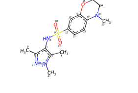 Cc1nn(C)c(C)c1NS(=O)(=O)c1ccc2c(c1)OCCN2C